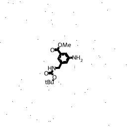 COC(=O)c1cc(N)cc(CNC(=O)OC(C)(C)C)c1